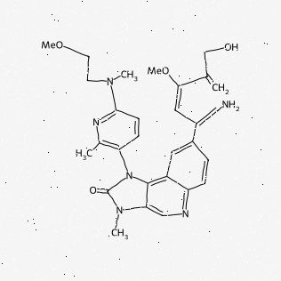 C=C(CO)/C(=C\C(=C/N)c1ccc2ncc3c(c2c1)n(-c1ccc(N(C)CCOC)nc1C)c(=O)n3C)OC